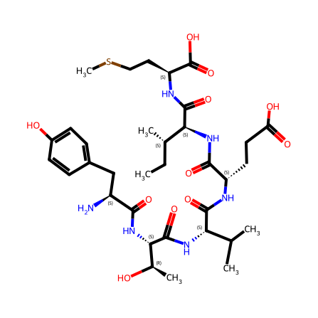 CC[C@H](C)[C@H](NC(=O)[C@H](CCC(=O)O)NC(=O)[C@@H](NC(=O)[C@@H](NC(=O)[C@@H](N)Cc1ccc(O)cc1)[C@@H](C)O)C(C)C)C(=O)N[C@@H](CCSC)C(=O)O